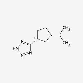 CC(C)N1CC[C@@H](c2nn[nH]n2)C1